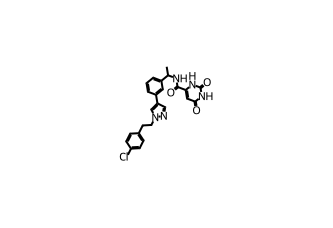 CC(NC(=O)c1cc(=O)[nH]c(=O)[nH]1)c1cccc(-c2cnn(CCc3ccc(Cl)cc3)c2)c1